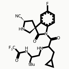 CC(C)(C)C(CNC(CC1CC1)C(=O)N1C(=O)[C@@]2(CN[C@H](C#N)C2)c2cc(F)ccc21)NC(=O)C(F)(F)F